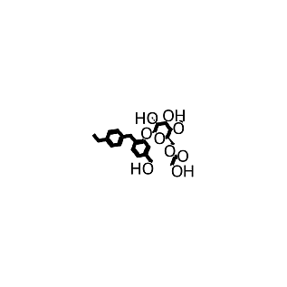 CCc1ccc(Cc2ccc(CO)cc2O[C@H]2O[C@H](COC(=O)CO)[C@@H](OC)[C@H](O)[C@H]2O)cc1